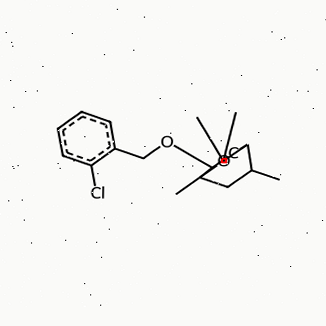 CC1CC2(C)OC(C)(C)C1CC2OCc1ccccc1Cl